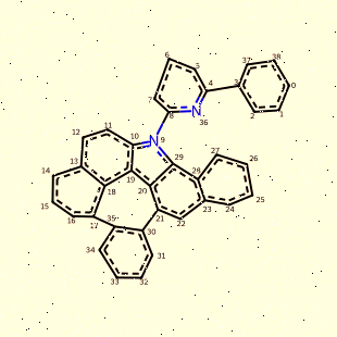 c1ccc(-c2cccc(-n3c4ccc5cccc6c5c4c4c(cc5ccccc5c43)-c3ccccc3-6)n2)cc1